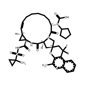 Cc1nc2ccccc2c2c1O[C@@]1(C[C@H]3C(=O)N[C@]4(C(=O)NS(=O)(=O)C5(C)CC5)C[C@H]4/C=C\CCCCC[C@H](N(C(=O)O)C4CCCC4)C(=O)N3C1)CC2(F)F